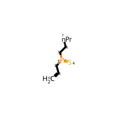 C=CC[P](=S)CCCCC